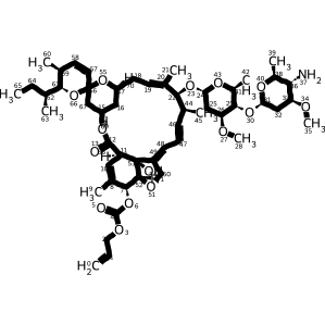 C=CCOC(=O)O[C@@H]1C(C)=C[C@H]2C(=O)O[C@H]3C[C@@H](C/C=C(\C)[C@@H](O[C@H]4C[C@H](OC)[C@@H](O[C@H]5C[C@H](OC)[C@@H](N)[C@H](C)O5)[C@H](C)O4)[C@@H](C)/C=C/C=C4\CO[C@H]1[C@@]42O)OC1(C=C[C@H](C)[C@@H]([C@@H](C)CC)O1)C3